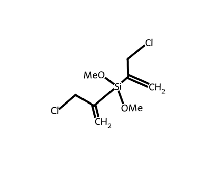 C=C(CCl)[Si](OC)(OC)C(=C)CCl